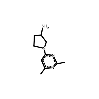 Cc1cc(N2CCC(N)C2)nc(C)n1